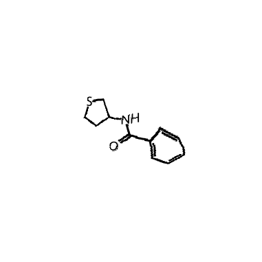 O=C(NC1CCSC1)c1ccccc1